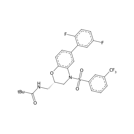 CC(C)(C)C(=O)NC[C@H]1CN(S(=O)(=O)c2cccc(C(F)(F)F)c2)c2cc(-c3cc(F)ccc3F)ccc2O1